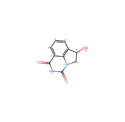 O=c1[nH]c(=O)n2c3c(cccc13)C(O)C2